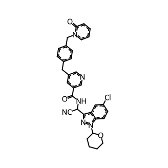 N#CC(NC(=O)c1cncc(Cc2ccc(Cn3ccccc3=O)cc2)c1)c1nn(C2CCCCO2)c2ccc(Cl)cc12